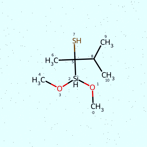 CO[SiH](OC)C(C)(S)C(C)C